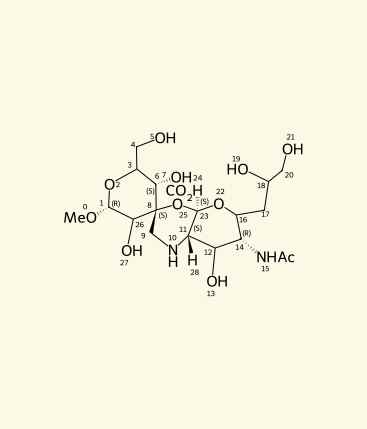 CO[C@@H]1OC(CO)[C@H](O)[C@@]2(CN[C@H]3C(O)[C@@H](NC(C)=O)C(CC(O)CO)O[C@]3(C(=O)O)O2)C1O